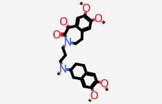 COc1cc2c(cc1OC)CC(N(C)CCCN1CCc3cc(OC)c(OC)cc3C(=O)C1=O)CC2